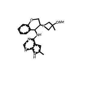 COC1(C)CN(C2COc3ccccc3C2Nc2ncnc3[nH]c(C)cc23)C1